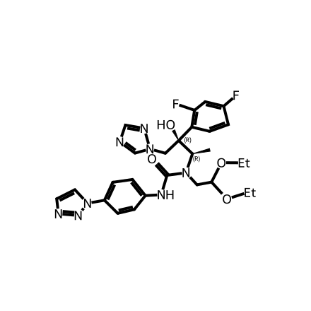 CCOC(CN(C(=O)Nc1ccc(-n2ccnn2)cc1)[C@H](C)[C@](O)(Cn1cncn1)c1ccc(F)cc1F)OCC